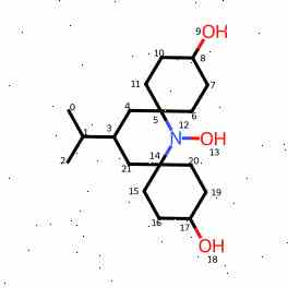 CC(C)C1CC2(CCC(O)CC2)N(O)C2(CCC(O)CC2)C1